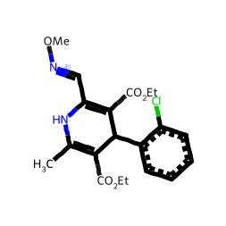 CCOC(=O)C1=C(C)NC(/C=N/OC)=C(C(=O)OCC)C1c1ccccc1Cl